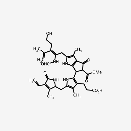 C=CC1=C(C)C(Cc2[nH]c(C3c4[nH]c(C/C(NC=O)=C(\CCO)C(=C)C)c(C)c4C(=O)C3C(=O)OC)c(CCC(=O)O)c2C)NC1=O